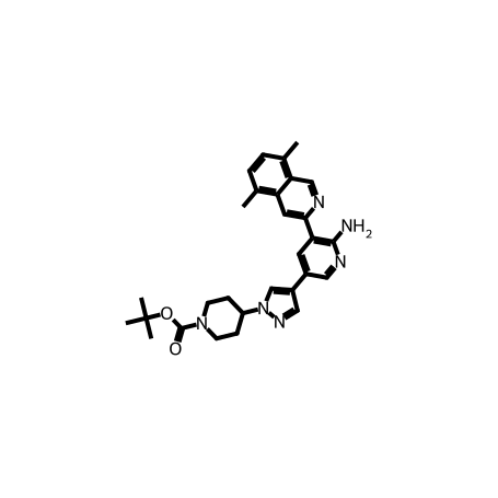 Cc1ccc(C)c2cc(-c3cc(-c4cnn(C5CCN(C(=O)OC(C)(C)C)CC5)c4)cnc3N)ncc12